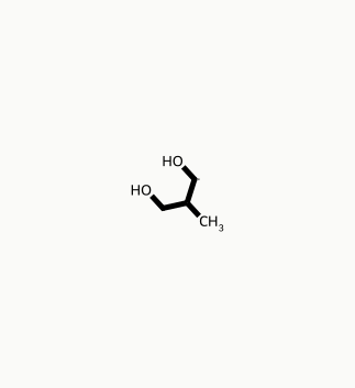 CC([CH]O)CO